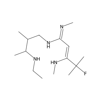 CCNC(C)C(C)CNC(/C=C(\NC)C(C)(C)F)=N/C